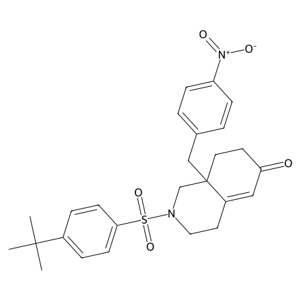 CC(C)(C)c1ccc(S(=O)(=O)N2CCC3=CC(=O)CCC3(Cc3ccc([N+](=O)[O-])cc3)C2)cc1